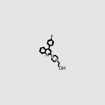 OCCN1CCN(c2cc(-c3ccc(F)cc3)c3ccccc3n2)CC1